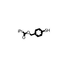 CC(C)C(=O)OCc1ccc(S)cc1